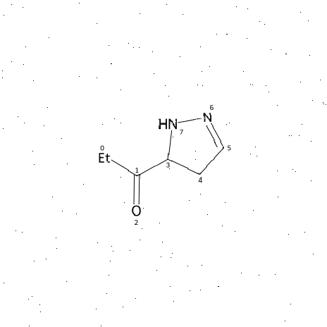 CCC(=O)C1CC=NN1